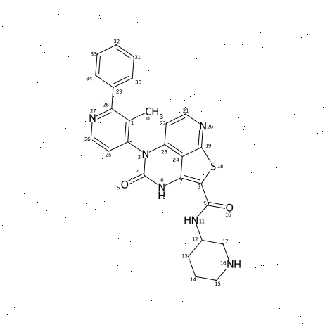 Cc1c(N2C(=O)Nc3c(C(=O)NC4CCCNC4)sc4nccc2c34)ccnc1-c1ccccc1